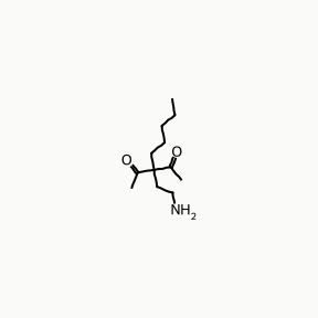 CCCCCC(CCN)(C(C)=O)C(C)=O